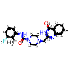 Cc1c(F)cccc1NC(=O)N1CCN(Cc2nc3ccccc3c(=O)[nH]2)CC1